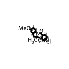 COc1ccc2c(c1)CC(C)(C[C]=O)N2C(=O)c1ccc(Cl)cc1